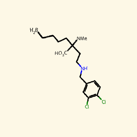 BCCCCC(CCNCc1ccc(Cl)c(Cl)c1)(NC)C(=O)O